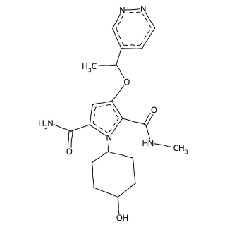 CNC(=O)c1c(OC(C)c2ccnnc2)cc(C(N)=O)n1C1CCC(O)CC1